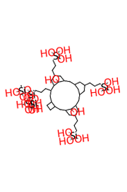 C[Si](O)(O)O[Si](CCCC1CC2CCC2CC2CC(CCC[Si](O)(O)O)CC(CC3CC(CCC[Si](O)(O)O)CC(C3)CC3CC(CCC[Si](O)(O)O)CC1C3O)C2O)(O[Si](C)(O)O)O[Si](C)(O)O